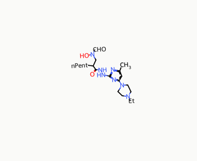 CCCCCC(CN(O)C=O)C(=O)NNc1nc(C)cc(N2CCN(CC)CC2)n1